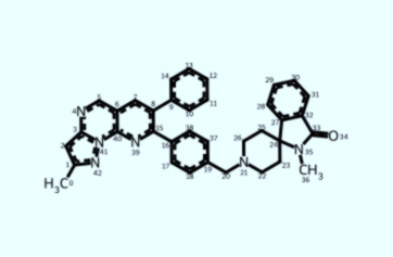 Cc1cc2ncc3cc(-c4ccccc4)c(-c4ccc(CN5CCC6(CC5)c5ccccc5C(=O)N6C)cc4)nc3n2n1